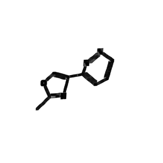 Cc1nc(-c2cccnn2)co1